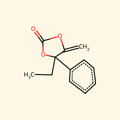 C=C1OC(=O)OC1(CC)c1ccccc1